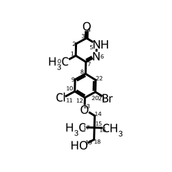 CC1CC(=O)NN=C1c1cc(Cl)c(OCC(C)(C)CO)c(Br)c1